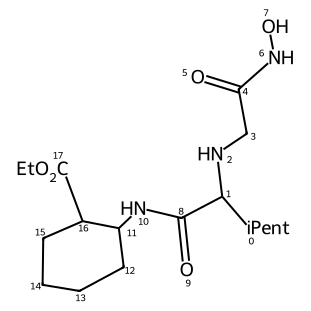 CCCC(C)C(NCC(=O)NO)C(=O)NC1CCCCC1C(=O)OCC